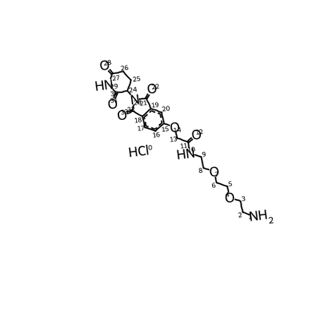 Cl.NCCOCCOCCNC(=O)COc1ccc2c(c1)C(=O)N(C1CCC(=O)NC1=O)C2=O